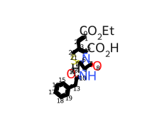 CCOC(=O)C=CC1=C(C(=O)O)N2C(=O)C(NC(=O)Cc3ccccc3)[C@@H]2SC1